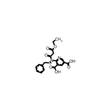 CCOC(=O)CC(=O)N(OCc1ccccc1)c1ncc(C(=O)O)cc1C(=O)O